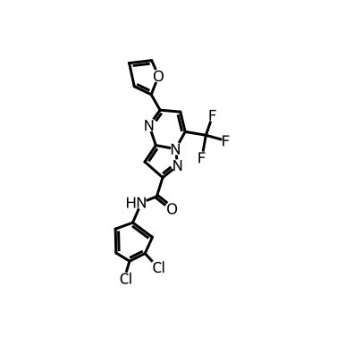 O=C(Nc1ccc(Cl)c(Cl)c1)c1cc2nc(-c3ccco3)cc(C(F)(F)F)n2n1